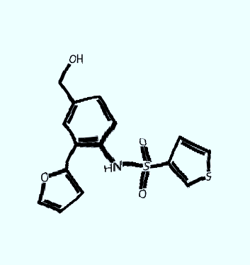 O=S(=O)(Nc1ccc(CO)cc1-c1ccco1)c1ccsc1